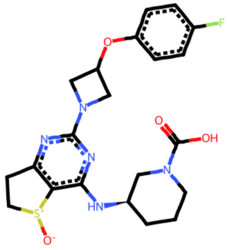 O=C(O)N1CCC[C@@H](Nc2nc(N3CC(Oc4ccc(F)cc4)C3)nc3c2[S+]([O-])CC3)C1